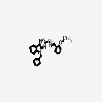 CCOc1ccccc1C=NNc1nnc2c3ccccc3n(Cc3ccccc3)c2n1